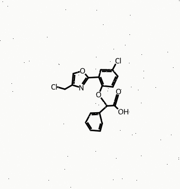 O=C(O)C(Oc1ccc(Cl)cc1-c1nc(CCl)co1)c1ccccc1